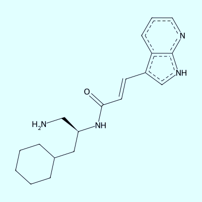 NC[C@H](CC1CCCCC1)NC(=O)/C=C/c1c[nH]c2ncccc12